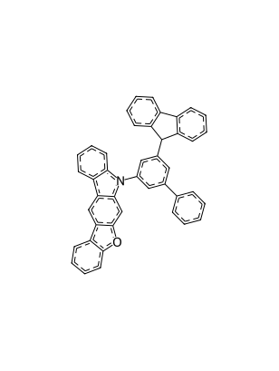 c1ccc(-c2cc(C3c4ccccc4-c4ccccc43)cc(-n3c4ccccc4c4cc5c(cc43)oc3ccccc35)c2)cc1